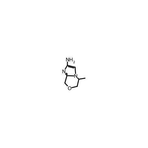 CC1COCc2nc(N)cn21